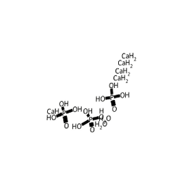 O.O.O=P(O)(O)O.O=P(O)(O)O.O=P(O)(O)O.[CaH2].[CaH2].[CaH2].[CaH2].[CaH2]